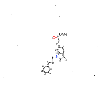 COC(=O)/C=C/c1ccc2c(C)cn(CCCc3ccccc3)c2c1